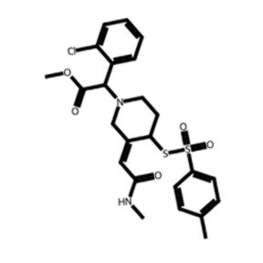 CNC(=O)/C=C1/CN(C(C(=O)OC)c2ccccc2Cl)CCC1SS(=O)(=O)c1ccc(C)cc1